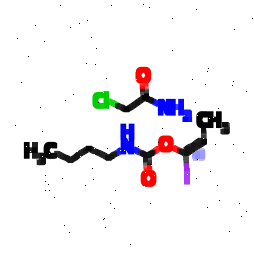 C/C=C(/I)OC(=O)NCCCC.NC(=O)CCl